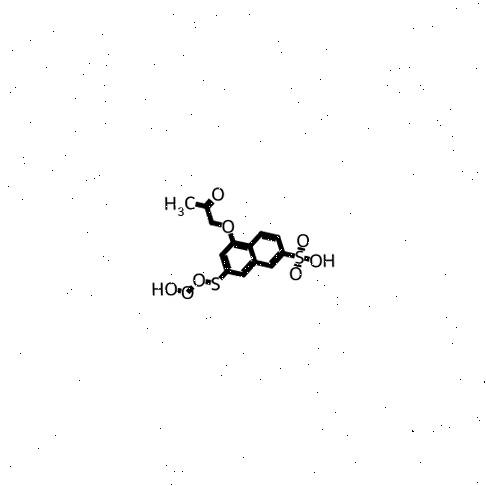 CC(=O)COc1cc(SOOO)cc2cc(S(=O)(=O)O)ccc12